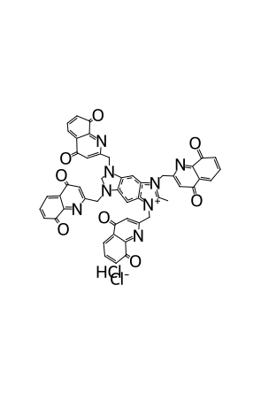 Cc1n(CC2=CC(=O)C3=CC=CC(=O)C3=N2)c2cc3c(cc2[n+]1CC1=CC(=O)C2=CC=CC(=O)C2=N1)N(CC1=CC(=O)C2=CC=CC(=O)C2=N1)CN3CC1=CC(=O)C2=CC=CC(=O)C2=N1.Cl.[Cl-]